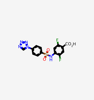 O=C(O)c1cc(F)c(NS(=O)(=O)c2ccc(-n3cnnn3)cc2)cc1F